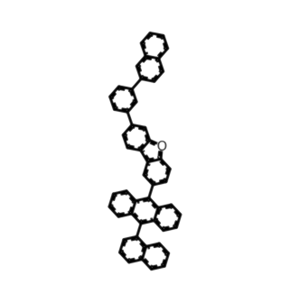 c1cc(-c2ccc3ccccc3c2)cc(-c2ccc3c(c2)oc2ccc(-c4c5ccccc5c(-c5cccc6ccccc56)c5ccccc45)cc23)c1